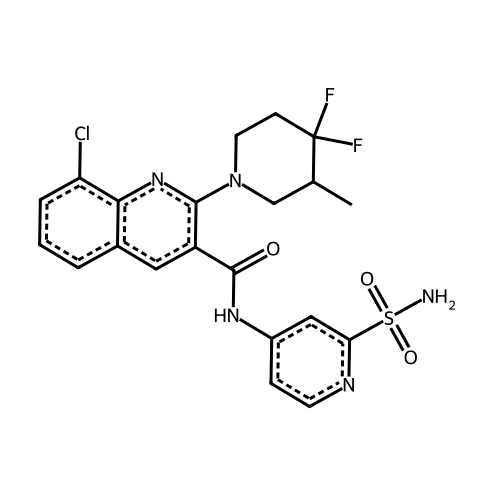 CC1CN(c2nc3c(Cl)cccc3cc2C(=O)Nc2ccnc(S(N)(=O)=O)c2)CCC1(F)F